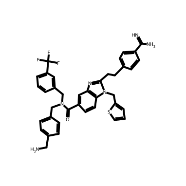 N=C(N)c1ccc(CCc2nc3cc(C(=O)N(Cc4ccc(CN)cc4)Cc4cccc(C(F)(F)F)c4)ccc3n2Cc2cccs2)cc1